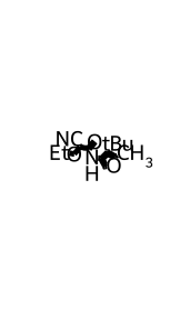 CCOC(C#N)C(=O)Nc1coc(C)c1C(C)(C)C